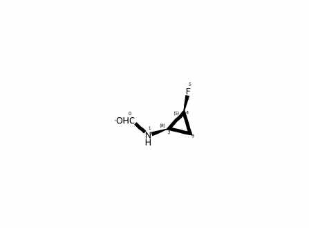 O=[C]N[C@@H]1C[C@@H]1F